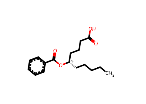 CCCCC[C@@H](CCCC(=O)O)OC(=O)c1ccccc1